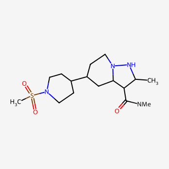 CNC(=O)C1C(C)NN2CCC(C3CCN(S(C)(=O)=O)CC3)CC12